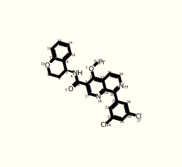 CC(C)Oc1c(C(=O)N[C@H]2CCOc3ccccc32)cnc2c(-c3cc(Cl)cc(Cl)c3)nccc12